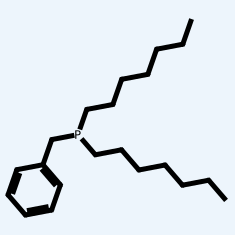 CCCCCCCP(CCCCCCC)Cc1ccccc1